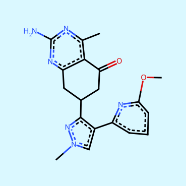 COc1cccc(-c2cn(C)nc2C2CC(=O)c3c(C)nc(N)nc3C2)n1